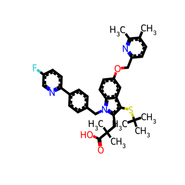 Cc1ccc(COc2ccc3c(c2)c(SC(C)(C)C)c(CC(C)(C)C(=O)O)n3Cc2ccc(-c3ccc(F)cn3)cc2)nc1C